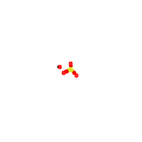 O=S(=O)=O.[O]